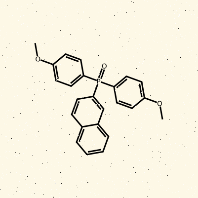 COc1ccc(P(=O)(c2ccc(OC)cc2)c2ccc3ccccc3c2)cc1